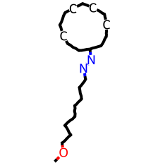 COCCCCCCCCN=NC1CCCCCCCCCCCC1